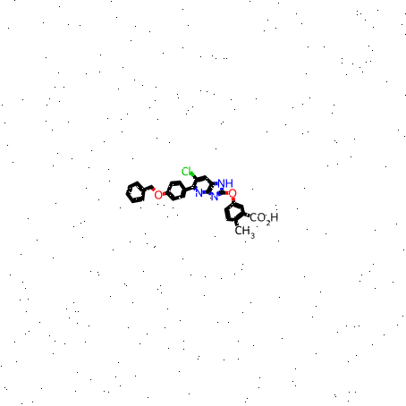 Cc1ccc(Oc2nc3nc(-c4ccc(OCc5ccccc5)cc4)c(Cl)cc3[nH]2)cc1C(=O)O